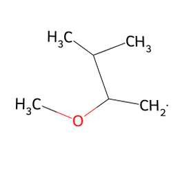 [CH2]C(OC)C(C)C